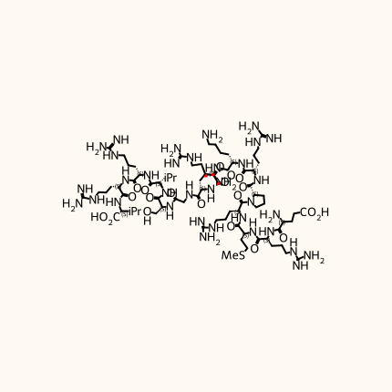 CSCC[C@H](NC(=O)[C@H](CCCNC(=N)N)NC(=O)[C@@H](N)CCC(=O)O)C(=O)N[C@@H](CCCNC(=N)N)C(=O)N1CCC[C@H]1C(=O)N[C@@H](CCCNC(=N)N)C(=O)N[C@@H](CCCCN)C(=O)N[C@@H](CCCNC(=N)N)C(=O)N[C@@H](CCC(N)=O)C(=O)NCC(=O)N[C@@H](CO)C(=O)N[C@H](C(=O)N[C@@H](CCCNC(=N)N)C(=O)N[C@@H](CCCNC(=N)N)C(=O)N[C@H](C(=O)O)C(C)C)C(C)C